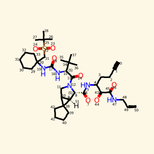 C#CCCC(NC(=O)[C@@H]1[C@@H]2C(CN1C(=O)[C@@H](NC(=O)NC1(CS(=O)(=O)C(C)(C)C)CCCCC1)C(C)(C)C)C21CCCC1)C(=O)C(=O)NCC=C